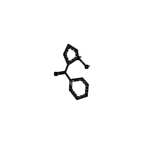 O=C(c1ccccc1)c1ccc[s+]1[O-]